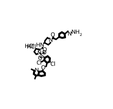 Cc1cc(C)c2cccc(OCc3c(Cl)ccc(S(=O)(=O)N4CCC[C@H]4C(=O)NC4CCN(C(=O)Cc5ccc(C=NN)cc5)CC4)c3Cl)c2n1.Cl.Cl